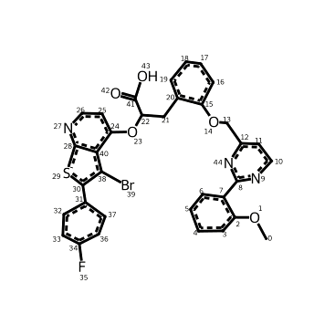 COc1ccccc1-c1nccc(COc2ccccc2CC(Oc2ccnc3sc(-c4ccc(F)cc4)c(Br)c23)C(=O)O)n1